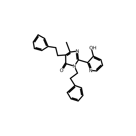 Cc1nc(-c2ncccc2O)n(CCc2ccccc2)c(=O)c1CCc1ccccc1